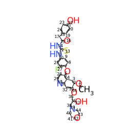 COc1cc2c(Oc3ccc(NC(=S)NC(=O)Cc4ccc(O)cc4)cc3F)ccnc2cc1OCC(O)CN1CCOCC1